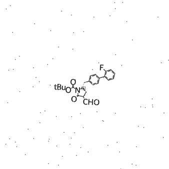 CC(C)(C)OC(=O)N1C(=O)C(C=O)C[C@H]1Cc1ccc(-c2ccccc2F)cc1